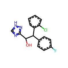 OC(c1nc[nH]n1)C(c1ccc(F)cc1)c1ccccc1Cl